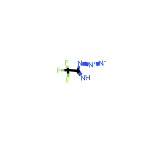 [N-]=[N+]=NC(=N)C(F)(F)F